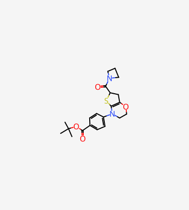 CC(C)(C)OC(=O)c1ccc(N2CCOC3=C2SC(C(=O)N2CCC2)C3)cc1